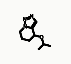 CC(C)OC1CCCn2nncc21